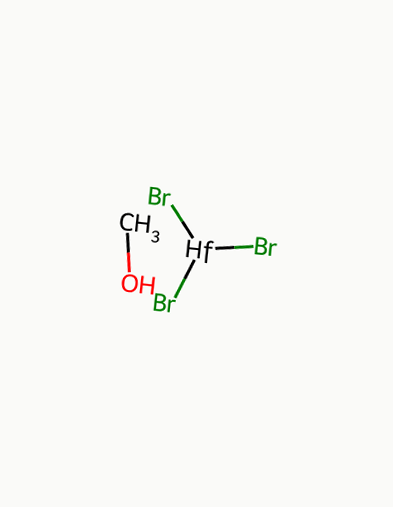 CO.[Br][Hf]([Br])[Br]